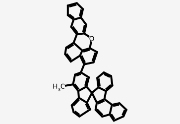 Cc1cc(-c2ccc3c4c(cccc24)-c2cc4ccccc4cc2O3)cc2c1-c1ccccc1C21c2ccccc2-c2c1ccc1ccccc21